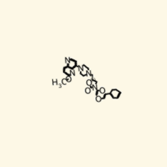 COc1ccc2nccc(N3CCN(C[C@H]4CN(C5=COC=C(C6=CC=CCC6)O5)C(=O)O4)CC3)c2n1